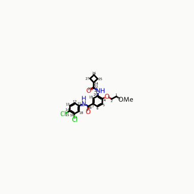 COCCOc1ccc(C(=O)Nc2ccc(Cl)c(Cl)c2)cc1NC(=O)C1CCC1